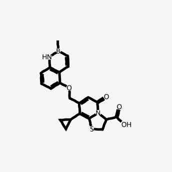 CB1C=Cc2c(cccc2OCc2cc(=O)n3c(c2C2CC2)SCC3C(=O)O)N1